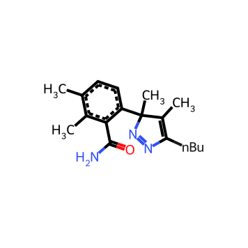 CCCCC1=C(C)C(C)(c2ccc(C)c(C)c2C(N)=O)N=N1